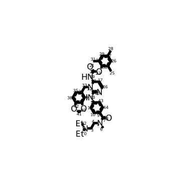 CCN(CC)CCN(C)C(=O)c1ccc(NC2=NC=CC(NC(=O)Oc3c(C)cc(C)cc3C)N2Cc2ccc3c(c2)OCO3)cc1